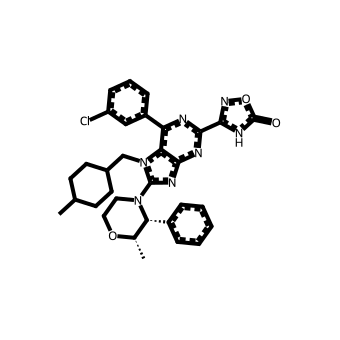 CC1CCC(Cn2c(N3CCO[C@@H](C)[C@H]3c3ccccc3)nc3nc(-c4noc(=O)[nH]4)nc(-c4cccc(Cl)c4)c32)CC1